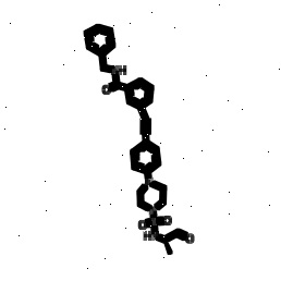 C[C@H](C=O)NS(=O)(=O)N1CCN(c2ccc(C#Cc3cccc(C(=O)NCc4ccccc4)c3)cc2)CC1